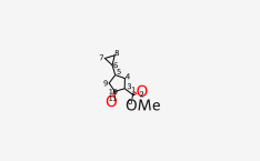 COC(=O)C1CC(C2CC2)CC1=O